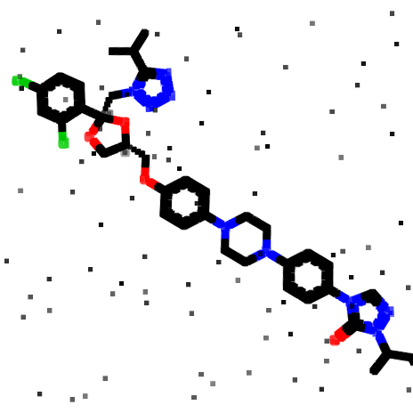 CCC(C)n1ncn(-c2ccc(N3CCN(c4ccc(OC[C@@H]5CO[C@@](Cn6nnnc6C(C)C)(c6ccc(Cl)cc6Cl)O5)cc4)CC3)cc2)c1=O